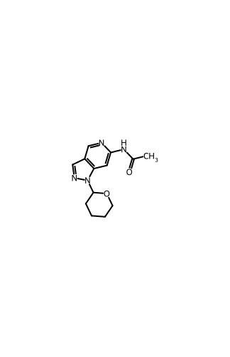 CC(=O)Nc1cc2c(cn1)cnn2C1CCCCO1